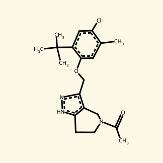 CC(=O)N1CCc2[nH]nc(COc3cc(C)c(Cl)cc3C(C)(C)C)c2C1